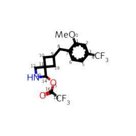 COc1cc(C(F)(F)F)ccc1CC1CC2(CNC2OC(=O)C(F)(F)F)C1